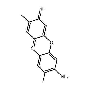 Cc1cc2nc3cc(C)c(=N)cc-3oc2cc1N